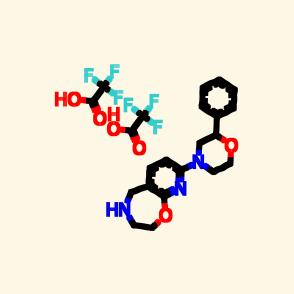 O=C(O)C(F)(F)F.O=C(O)C(F)(F)F.c1ccc(C2CN(c3ccc4c(n3)OCCNC4)CCO2)cc1